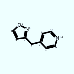 c1cc(Cc2ccon2)ccn1